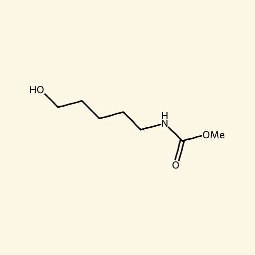 COC(=O)NCCCCCO